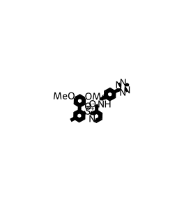 COc1cc(OC)cc(-c2cc(C)ccc2[S+]([O-])c2ncccc2C(=O)NCc2ccc(-c3nncnn3)cc2)c1